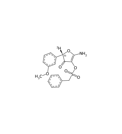 [2H][C@@]1(c2cccc(OC)c2)OC(N)=C(OS(=O)(=O)Cc2ccccc2)C1=O